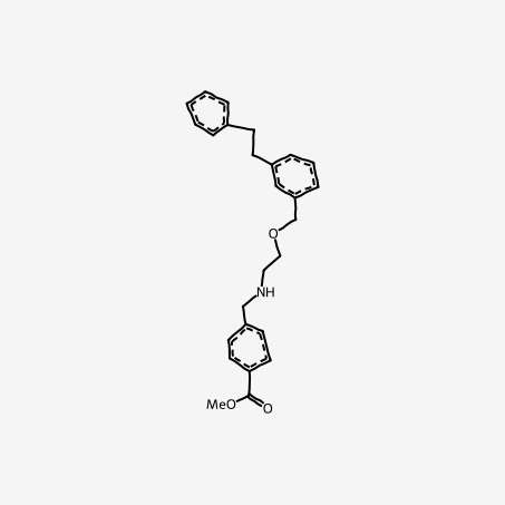 COC(=O)c1ccc(CNCCOCc2cccc(CCc3ccccc3)c2)cc1